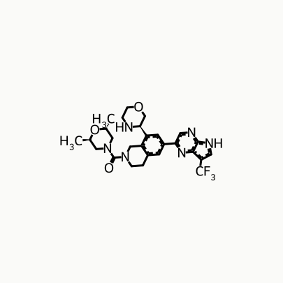 C[C@@H]1CN(C(=O)N2CCc3cc(-c4cnc5[nH]cc(C(F)(F)F)c5n4)cc([C@@H]4COCCN4)c3C2)C[C@@H](C)O1